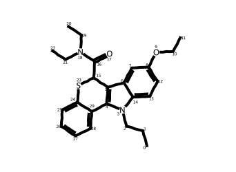 CCCn1c2c(c3cc(OCC)ccc31)C(C(=O)N(CC)CC)Sc1ccccc1-2